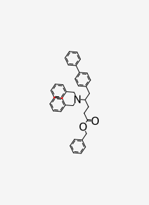 O=C(CCC(Cc1ccc(-c2ccccc2)cc1)N(Cc1ccccc1)Cc1ccccc1)OCc1ccccc1